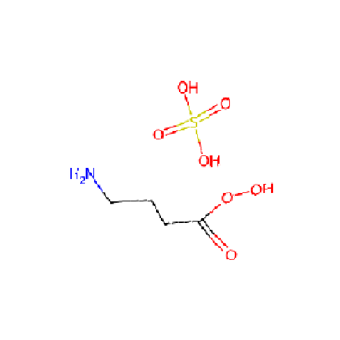 NCCCC(=O)OO.O=S(=O)(O)O